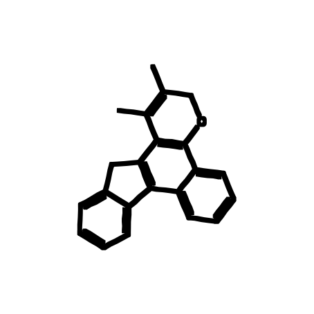 CC1=C(C)c2c3c(c4ccccc4c2OC1)-c1ccccc1C3